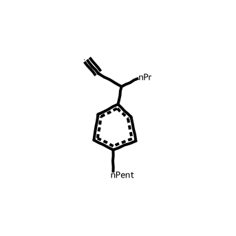 [C]#CC(CCC)c1ccc(CCCCC)cc1